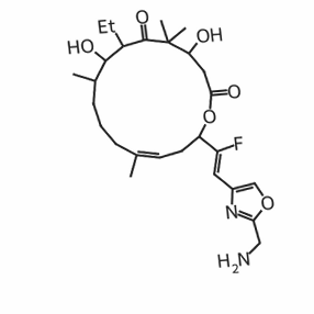 CCC1C(=O)C(C)(C)C(O)CC(=O)OC(C(F)=Cc2coc(CN)n2)CC=C(C)CCCC(C)C1O